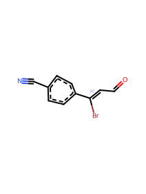 N#Cc1ccc(/C(Br)=C/C=O)cc1